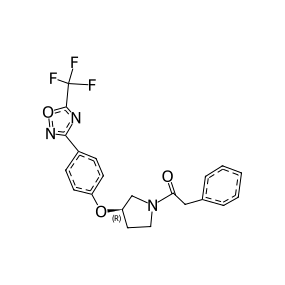 O=C(Cc1ccccc1)N1CC[C@@H](Oc2ccc(-c3noc(C(F)(F)F)n3)cc2)C1